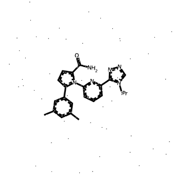 Cc1cc(C)cc(-c2ccc(C(N)=O)n2-c2cccc(-c3nncn3C(C)C)n2)c1